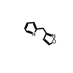 [c]1conc1Cc1ccccn1